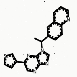 CC(c1ccc2ncccc2c1)n1cnc2ncc(-c3ccsc3)nc21